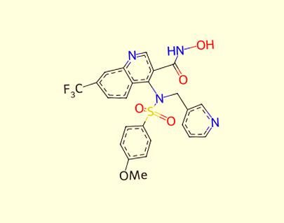 COc1ccc(S(=O)(=O)N(Cc2cccnc2)c2c(C(=O)NO)cnc3cc(C(F)(F)F)ccc23)cc1